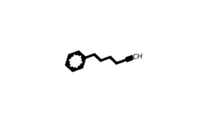 C#CCCCCc1ccccc1